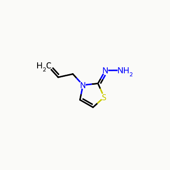 C=CCn1ccsc1=NN